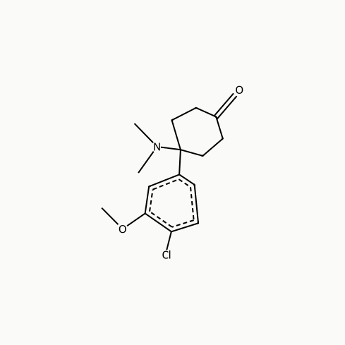 COc1cc(C2(N(C)C)CCC(=O)CC2)ccc1Cl